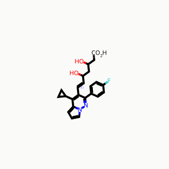 O=C(O)CC(O)CC(O)/C=C/c1c(-c2ccc(F)cc2)nn2cccc2c1C1CC1